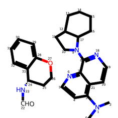 CN(C)c1ccnc2c(N3CCC4CCCCC43)nccc12.O=CN[C@H]1CCOc2ccccc21